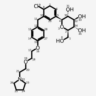 OC[C@H]1O[C@@H](C2=CCC(Cl)C(Cc3ccc(OCCOCCN4CCCC4)cc3)=C2)[C@H](O)[C@@H](O)[C@@H]1O